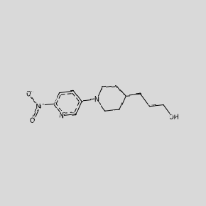 O=[N+]([O-])c1ccc(N2CCC(CCCO)CC2)cn1